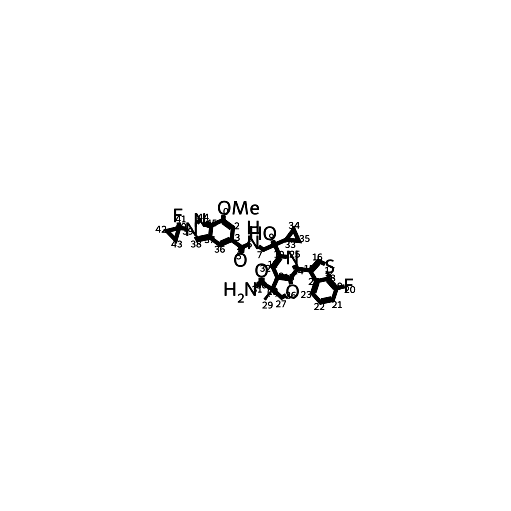 COc1cc(C(=O)NCC(O)(c2cc3c(c(-c4csc5c(F)cccc45)n2)OC[C@]3(C)C(N)=O)C2CC2)cc2cn(C3(F)CC3)nc12